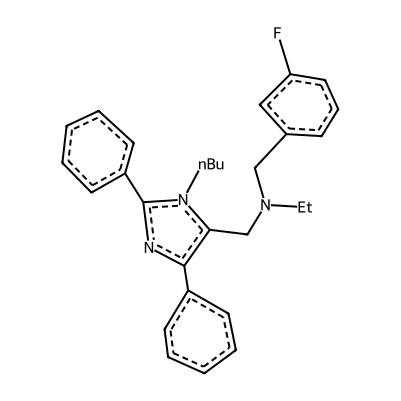 CCCCn1c(-c2ccccc2)nc(-c2ccccc2)c1CN(CC)Cc1cccc(F)c1